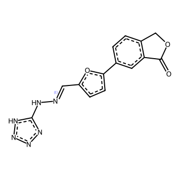 O=C1OCc2ccc(-c3ccc(/C=N/Nc4nnn[nH]4)o3)cc21